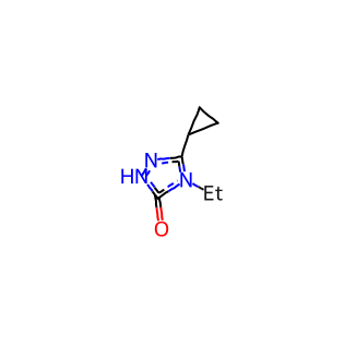 CCn1c(C2CC2)n[nH]c1=O